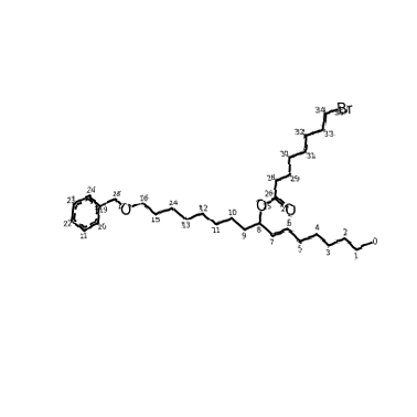 CCCCCCCCC(CCCCCCCCOCc1ccccc1)OC(=O)CCCCCCCBr